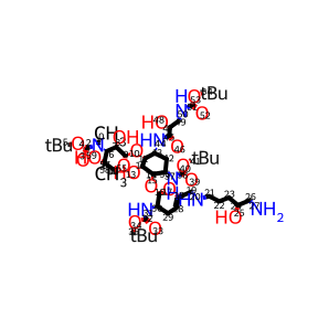 CN(C(=O)OC(C)(C)C)[C@@H]1[C@@H](O)[C@@H](O[C@@H]2[C@@H](O)[C@H](O[C@H]3OC(CNCCCC(O)CN)=CC[C@H]3NC(=O)OC(C)(C)C)[C@@H](NC(=O)OC(C)(C)C)C[C@H]2NC(=O)[C@@H](O)CNC(=O)OC(C)(C)C)OC[C@]1(C)O